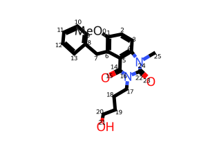 COc1ccc2c(c1Cc1ccccc1)c(=O)n(CCCCO)c(=O)n2C